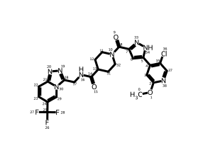 COc1cc(-c2cc(C(=O)N3CCC(C(=O)NCc4nnc5ccc(C(F)(F)F)cn45)CC3)n[nH]2)c(Cl)cn1